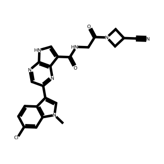 Cn1cc(-c2cnc3[nH]cc(C(=O)NCC(=O)N4CC(C#N)C4)c3n2)c2ccc(Cl)cc21